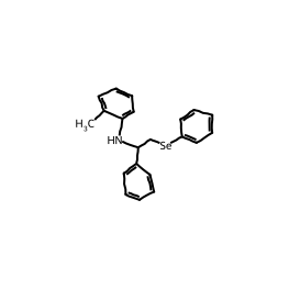 Cc1ccccc1NC(C[Se]c1ccccc1)c1ccccc1